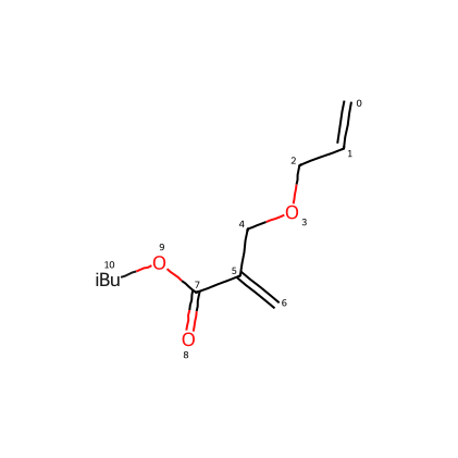 C=CCOCC(=C)C(=O)OC(C)CC